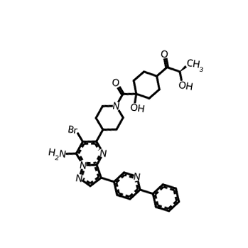 C[C@@H](O)C(=O)C1CCC(O)(C(=O)N2CCC(c3nc4c(-c5ccc(-c6ccccc6)nc5)cnn4c(N)c3Br)CC2)CC1